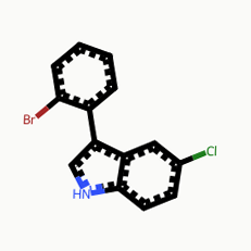 Clc1ccc2[nH]cc(-c3ccccc3Br)c2c1